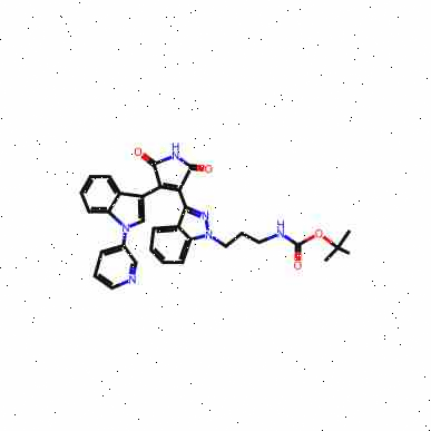 CC(C)(C)OC(=O)NCCCn1nc(C2=C(c3cn(-c4cccnc4)c4ccccc34)C(=O)NC2=O)c2ccccc21